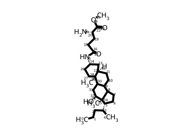 CCCC(C)[C@H]1CCC2C3CC[C@@H]4C[C@@H](NC(=O)CC[C@H](N)C(=O)OC)CC[C@]4(C)C3C[C@H](O)[C@@]21C